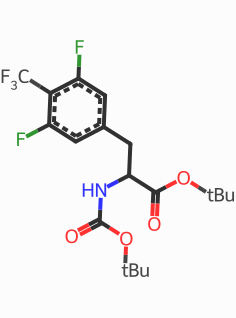 CC(C)(C)OC(=O)NC(Cc1cc(F)c(C(F)(F)F)c(F)c1)C(=O)OC(C)(C)C